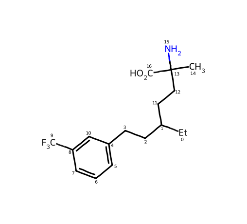 CCC(CCc1cccc(C(F)(F)F)c1)CCC(C)(N)C(=O)O